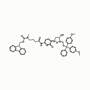 COc1ccc(C(OC[C@H]2O[C@@H](n3ccc(NC(=O)CCCN(C)C(=O)OCC4c5ccccc5-c5ccccc54)nc3=O)CC2O)(c2ccccc2)c2ccc(OC)cc2)cc1